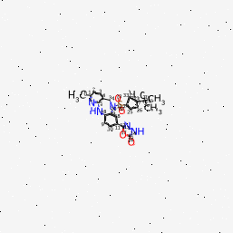 Cc1ccc2c(n1)Nc1ccc(-c3n[nH]c(=O)o3)cc1N(S(=O)(=O)c1ccc(C(C)(C)C)cc1)C2